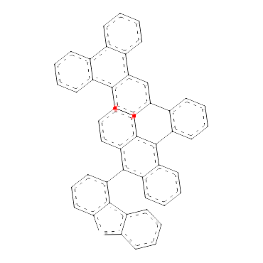 c1ccc(-c2c3ccccc3c(-c3cccc4oc5ccccc5c34)c3ccccc23)c(-c2ccc3c4ccccc4c4ccccc4c3c2)c1